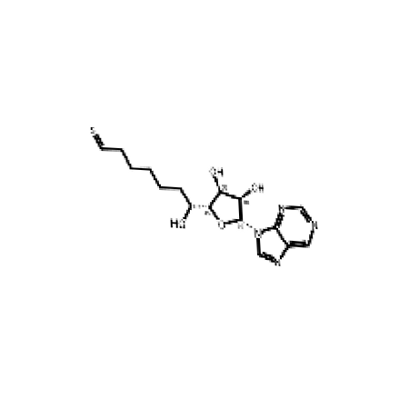 OC(CCCCCC=S)[C@H]1O[C@@H](n2cnc3cncnc32)[C@H](O)[C@@H]1O